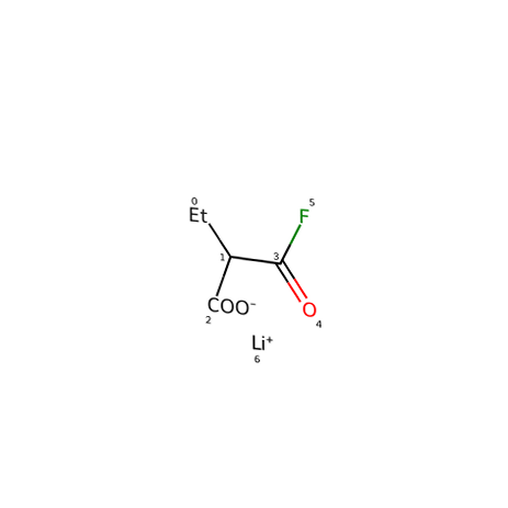 CCC(C(=O)[O-])C(=O)F.[Li+]